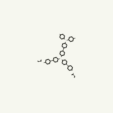 C=CC(=O)Oc1ccc(-c2ccc(N(c3ccc(-c4ccc(OC(=O)C=C)cc4)cc3)c3ccc(-c4ccc(N(c5ccc(C)cc5)c5ccc(C)cc5)cc4)cc3)cc2)cc1